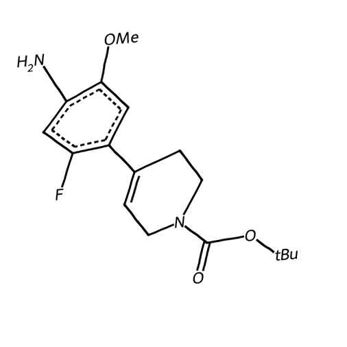 COc1cc(C2=CCN(C(=O)OC(C)(C)C)CC2)c(F)cc1N